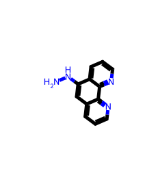 NNc1cc2cccnc2c2ncccc12